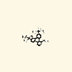 COc1nccc2c3ccc(C(C)(C)C)cc3c3cc(C(C)(C)C)ccc3c12